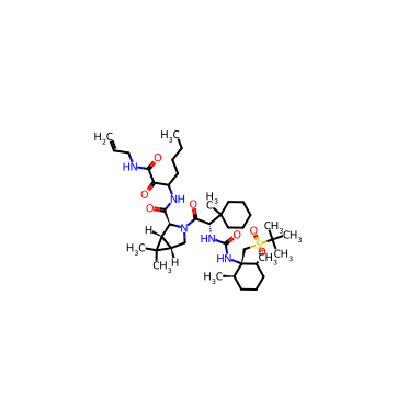 C=CCNC(=O)C(=O)C(CCCC)NC(=O)[C@@H]1[C@@H]2[C@H](CN1C(=O)[C@@H](NC(=O)N[C@@]1(CS(=O)(=O)C(C)(C)C)[C@H](C)CCC[C@@H]1C)C1(C)CCCCC1)C2(C)C